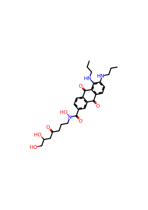 CCCNc1ccc2c(c1NCCC)C(=O)c1ccc(C(=O)N(O)CCCC(=O)CC(O)CO)cc1C2=O